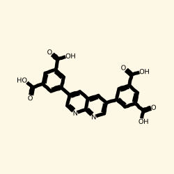 O=C(O)c1cc(C(=O)O)cc(-c2cnc3ncc(-c4cc(C(=O)O)cc(C(=O)O)c4)cc3c2)c1